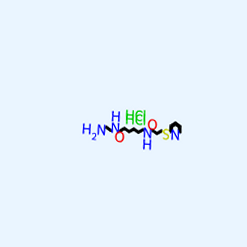 Cl.Cl.NCCNC(=O)CCCCCNC(=O)CCSc1ccccn1